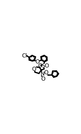 O=CN(OCc1ccccc1)C1(CS(=O)(=O)c2ccccc2Oc2ccc(Cl)cc2)CCOCC1